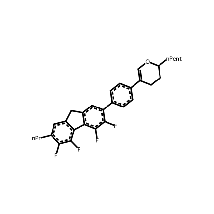 CCCCCC1CCC(c2ccc(-c3cc4c(c(F)c3F)-c3c(cc(CCC)c(F)c3F)C4)cc2)=CO1